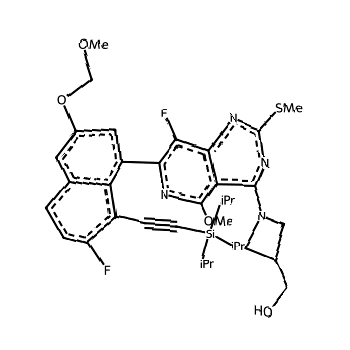 COCOc1cc(-c2nc(OC)c3c(N4CC(CO)C4)nc(SC)nc3c2F)c2c(C#C[Si](C(C)C)(C(C)C)C(C)C)c(F)ccc2c1